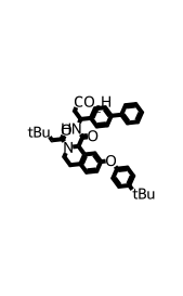 CC(C)(C)CC(=O)N1CCc2ccc(Oc3ccc(C(C)(C)C)cc3)cc2C1C(=O)NC(CC(=O)O)c1ccc(-c2ccccc2)cc1